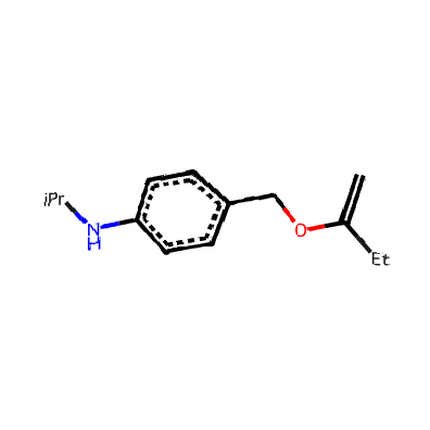 C=C(CC)OCc1ccc(NC(C)C)cc1